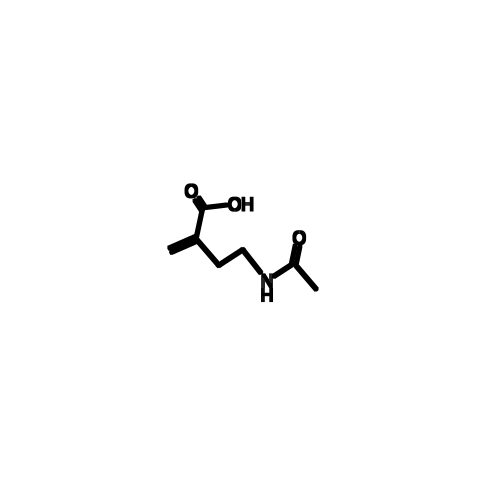 C=C(CCNC(C)=O)C(=O)O